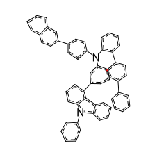 c1ccc(-c2ccc(-c3ccccc3N(c3ccc(-c4ccc5ccccc5c4)cc3)c3cccc(-c4cccc5c4c4ccccc4n5-c4ccccc4)c3)cc2)cc1